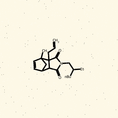 C=CCC12C(=O)N(CC(CC)CCCC)C(=O)C1C1C=CC2(C)C1